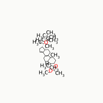 CCOC(C)O[C@H]1CC[C@]2(C)C3=C(CC[C@@H]2C1(C)C)C1=CC[C@H](C(C)O[Si](C)(C)C(C)(C)C)[C@@]1(C)CC3